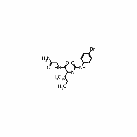 CC[C@H](C)C(NC(=O)Nc1ccc(Br)cc1)C(=O)NCC(N)=O